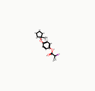 CCC(I)C(=O)Oc1ccc(OC2(C(C)C)CCCC2)cc1